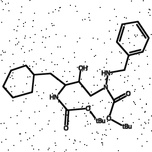 CC(C)(C)OC(=O)NC(CC1CCCCC1)C(O)CN(NCc1ccccc1)C(=O)OC(C)(C)C